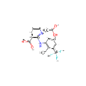 CC(=O)O.Cc1c(Nc2ncccc2C(=O)O)cccc1C(F)(F)F